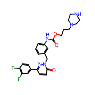 O=C(Nc1cccc(Cn2nc(-c3ccc(F)c(F)c3)ccc2=O)c1)OCCCN1CCNCC1